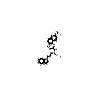 Cc1ccc2c3c(ccc2n1)OCC(CN(C)CCCn1ccc2ccc(F)cc21)O3